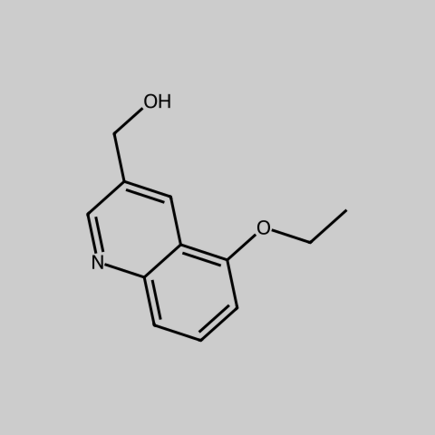 CCOc1cccc2ncc(CO)cc12